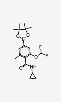 Cc1cc(B2OC(C)(C)C(C)(C)O2)cc(OC(F)F)c1C(=O)NC1CC1